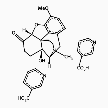 COc1ccc2c3c1O[C@H]1C(=O)CC[C@@]4(O)[C@@H](C2)N(C)CC[C@]314.O=C(O)c1cccnc1.O=C(O)c1cccnc1